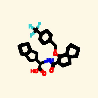 O=C(NC(C(=O)O)C1Cc2ccccc2C1)c1ccc2ccccc2c1OCc1ccc(C(F)(F)F)cc1